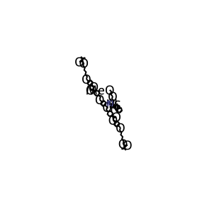 C=C(C)C(=O)OCCCCCCOc1ccc(OC(=O)C2CCC(COc3ccc(OCC4CCC(C(=O)Oc5ccc(OCCCCCCOC(=O)C(=C)C)cc5)CC4)c(/C=N/N(CCOCCOC)c4nc5ccccc5s4)c3)CC2)cc1